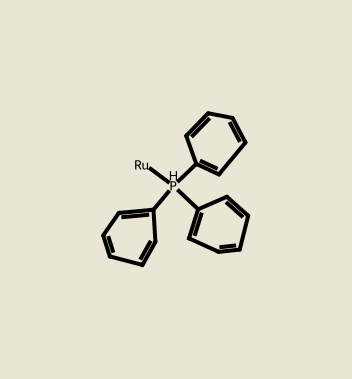 [Ru][PH](c1ccccc1)(c1ccccc1)c1ccccc1